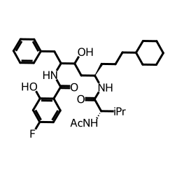 CC(=O)N[C@H](C(=O)N[C@H](CCCC1CCCCC1)CC(O)C(Cc1ccccc1)NC(=O)c1ccc(F)cc1O)C(C)C